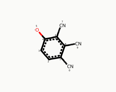 N#Cc1ccc([O])c(C#N)c1C#N